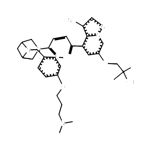 C=C(/C=C\C(=N/C)N1CC2CC(C1)N2Cc1ccc(OCCCN(C)C)cc1)c1cc(OCC(C)(C)O)cn2ncc(C#N)c12